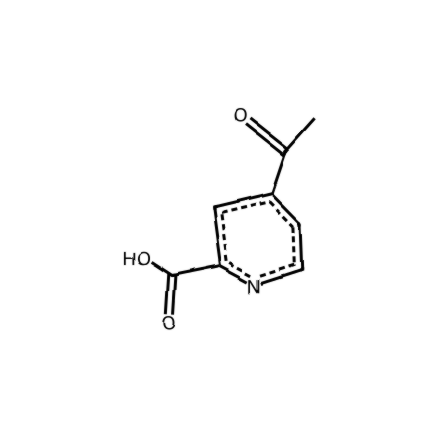 CC(=O)c1ccnc(C(=O)O)c1